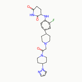 O=C1CCC(Nc2ccc(C3CCN(CC(=O)N4CCC(n5cccn5)CC4)CC3)cc2F)C(=O)N1